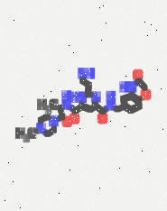 C[C@H](NC(=O)C1=CC(C(=O)NCc2ccc3c(c2)NC(=O)CO3)=N/C(=C/C=N)N1)C(=O)N1CCN(C)CC1